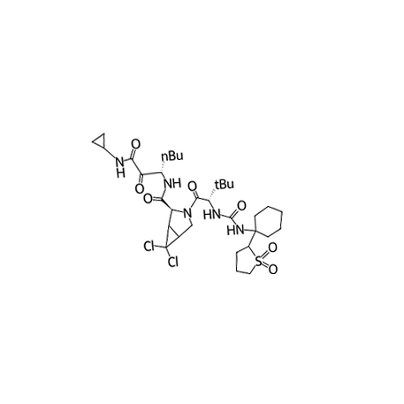 CCCC[C@H](NC(=O)[C@@H]1C2C(CN1C(=O)[C@@H](NC(=O)NC1(C3CCCS3(=O)=O)CCCCC1)C(C)(C)C)C2(Cl)Cl)C(=O)C(=O)NC1CC1